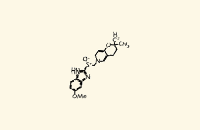 COc1ccc2[nH]c([S+]([O-])CN3C=C4CCC(C)(C)OC4=CC3)nc2c1